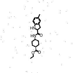 CCOC(=O)[C@H]1CC[C@@H](NC(=O)C2Cc3cc(C)ccc3N2)CC1